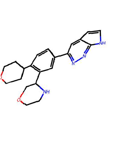 c1cc2cc(-c3ccc(C4CCOCC4)c(C4COCCN4)c3)nnc2[nH]1